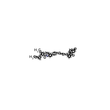 CCOc1cc(O)c(C(=O)/C=C/c2ccc(N3CCN(CCOCCOCCOc4cccc5c4C(=O)N(C4CCC(=O)NC4=O)C5=O)CC3)cc2Cl)cc1CN1CCC[C@H]1COC